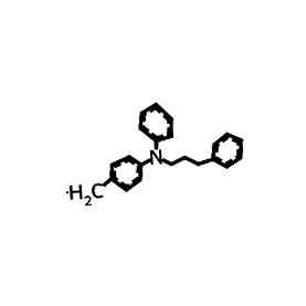 [CH2]c1ccc(N(CCCc2ccccc2)c2ccccc2)cc1